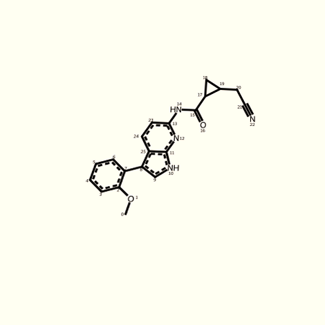 COc1ccccc1-c1c[nH]c2nc(NC(=O)C3CC3CC#N)ccc12